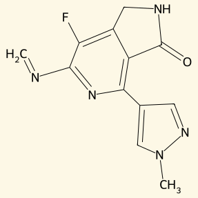 C=Nc1nc(-c2cnn(C)c2)c2c(c1F)CNC2=O